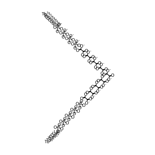 O=C([O-])C(=O)[O-].O=C([O-])C(=O)[O-].O=C([O-])C(=O)[O-].O=C([O-])C(=O)[O-].O=C([O-])C(=O)[O-].O=C([O-])C(=O)[O-].O=C([O-])C(=O)[O-].O=C([O-])C(=O)[O-].O=C([O-])C(=O)[O-].O=P([O-])([O-])[O-].O=P([O-])([O-])[O-].O=P([O-])([O-])[O-].O=P([O-])([O-])[O-].O=P([O-])([O-])[O-].O=P([O-])([O-])[O-].O=P([O-])([O-])[O-].O=P([O-])([O-])[O-].O=P([O-])([O-])[O-].[Ce+3].[Ce+3].[Ce+3].[Ce+3].[Ce+3].[La+3].[La+3].[La+3].[La+3].[La+3].[Tb+3].[Tb+3].[Tb+3].[Tb+3].[Tb+3]